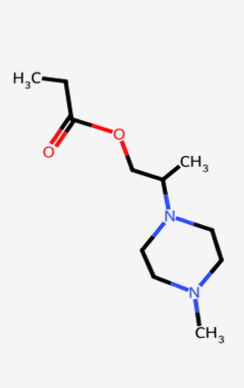 CCC(=O)OCC(C)N1CCN(C)CC1